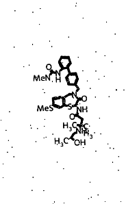 CNC(=O)Nc1ccccc1-c1ccc(CN2Cc3ccc(SC)cc3S[C@@H](NC(=O)CC(C)(C)NC[C@@H](C)O)C2=O)cc1